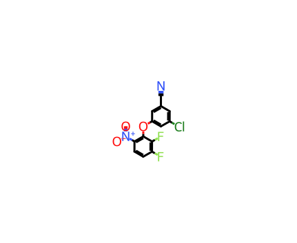 N#Cc1cc(Cl)cc(Oc2c([N+](=O)[O-])ccc(F)c2F)c1